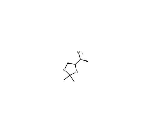 C[C@H](N)[C@@H]1COC(C)(C)O1